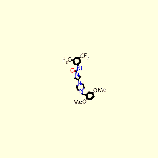 COc1ccc(OC)c(CN2CCN(C3CN(C(=O)Nc4cc(C(F)(F)F)cc(C(F)(F)F)c4)C3)CC2)c1